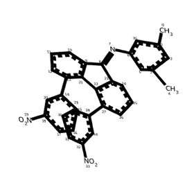 Cc1cc(C)cc(N=C2c3cccc(-c4cccc([N+](=O)[O-])c4)c3-c3c2cccc3-c2cccc([N+](=O)[O-])c2)c1